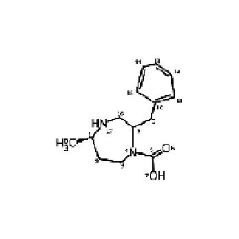 C[C@@H]1CCN(C(=O)O)C(Cc2ccccc2)CN1